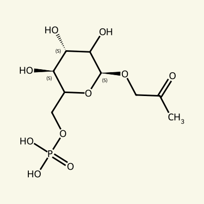 CC(=O)CO[C@H]1OC(COP(=O)(O)O)[C@@H](O)[C@H](O)C1O